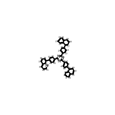 c1ccc2c(-c3ccc(-c4nc(-c5ccc(-c6cccc7ccccc67)cc5)nc(-c5ccc(-c6cccc7cccnc67)cc5)n4)cc3)cccc2c1